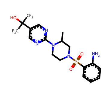 CC1CN(S(=O)(=O)c2ccccc2N)CCN1c1ncc(C(O)(C(F)(F)F)C(F)(F)F)cn1